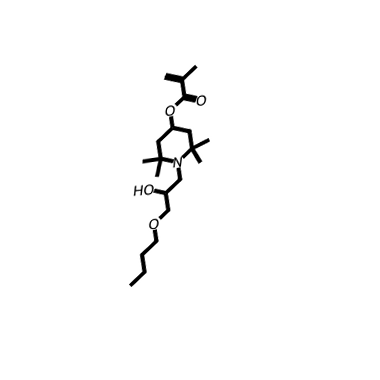 C=C(C)C(=O)OC1CC(C)(C)N(CC(O)COCCCC)C(C)(C)C1